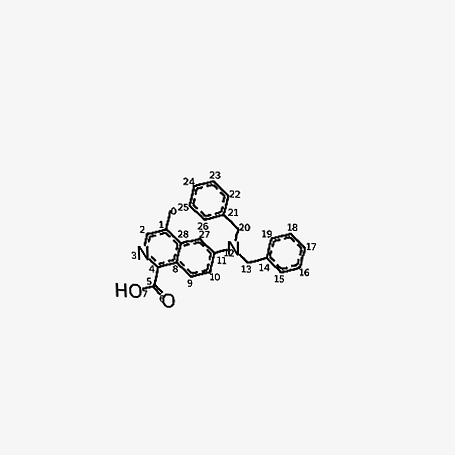 Cc1cnc(C(=O)O)c2ccc(N(Cc3ccccc3)Cc3ccccc3)cc12